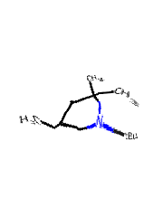 CC1CN(C(C)(C)C)C(C)(C)C1